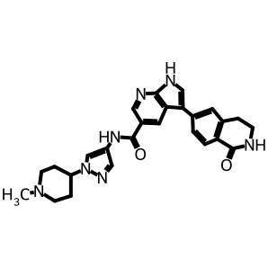 CN1CCC(n2cc(NC(=O)c3cnc4[nH]cc(-c5ccc6c(c5)CCNC6=O)c4c3)cn2)CC1